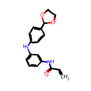 C=CC(=O)Nc1cccc(Nc2ccc(C3OCCO3)cc2)c1